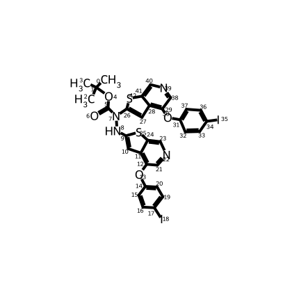 CC(C)(C)OC(=O)N(Nc1cc2c(Oc3ccc(I)cc3)cncc2s1)c1cc2c(Oc3ccc(I)cc3)cncc2s1